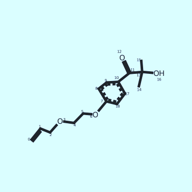 C=CCOCCOc1ccc(C(=O)C(C)(C)O)cc1